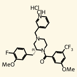 COc1cc(C(=O)N2CCN(Cc3cccnc3)C[C@H]2Cc2ccc(F)c(OC)c2)cc(C(F)(F)F)c1.Cl.Cl